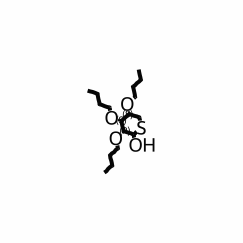 CCCCO[C@H]1[C@H](OCCCC)CSC(O)[C@@H]1OCCCC